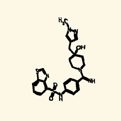 Cn1cc(CC2(O)CCN(C(=N)c3ccc(NS(=O)(=O)c4cccc5scnc45)cc3)CC2)cn1